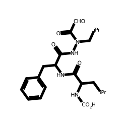 CC(C)CC(NC(=O)O)C(=O)NC(Cc1ccccc1)C(=O)NN(CC(C)C)C(=O)C=O